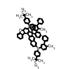 Cc1ccc(N(C2=CC3Oc4ccccc4C3C3=C2C2(c4cc5cc(N(c6ccc(C(C)(C)C)cc6)c6ccc(C)c(-c7ccccc7)c6)ccc5cc43)c3ccccc3-c3ccccc32)c2ccc(C(C)(C)C)cc2)cc1-c1ccccc1